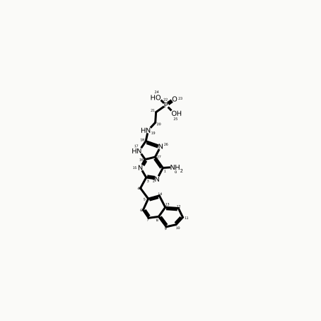 Nc1nc(Cc2ccc3ccccc3c2)nc2[nH]c(NCCP(=O)(O)O)nc12